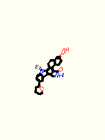 CCn1c2ccc(C3CCCCO3)cc2c2c3c(c4c(c21)CCc1cc(O)ccc1-4)C(=O)NC3